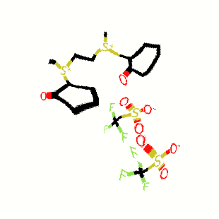 C[S+](CC[S+](C)C1CCCC1=O)C1CCCC1=O.O=S(=O)([O-])C(F)(F)F.O=S(=O)([O-])C(F)(F)F